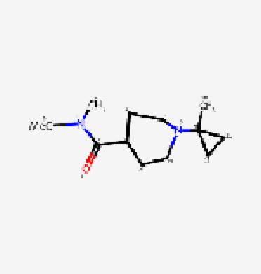 CON(C)C(=O)C1CCN(C2(C(F)(F)F)CC2)CC1